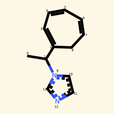 CC(C1=CC=CC=CC1)n1ccnc1